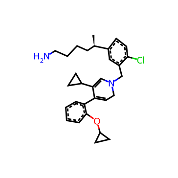 C[C@H](CCCCN)c1ccc(Cl)c(CN2C=C(C3CC3)C(c3ccccc3OC3CC3)=CC2)c1